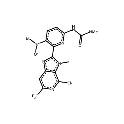 CC[S+]([O-])c1ccc(NC(=O)NC)nc1-c1nc2cc(C(F)(F)F)nc(C#N)c2n1C